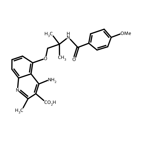 COc1ccc(C(=O)NC(C)(C)COc2cccc3nc(C)c(C(=O)O)c(N)c23)cc1